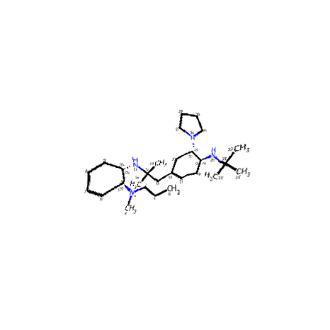 CCCN(C)[C@H]1CCCC[C@@H]1NC(C)(C)CC1CC[C@H](NC(C)(C)C)[C@@H](N2CCCC2)C1